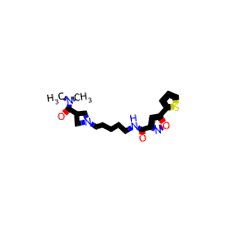 CN(C)C(=O)C1CN(CCCCCNC(=O)c2cc(-c3cccs3)on2)C1